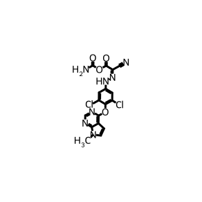 Cn1ccc2c(Oc3c(Cl)cc(NN=C(C#N)C(=O)OC(N)=O)cc3Cl)ncnc21